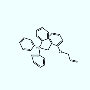 C=CCOc1cccnc1C[PH](c1ccccc1)(c1ccccc1)c1ccccc1